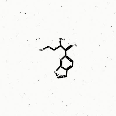 C=C(c1ccc2ccoc2c1)C(CCO)NC